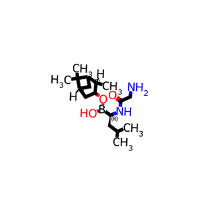 CC(C)C[C@H](NC(=O)CN)B(O)OC1C[C@@H]2CC([C@H]1C)C2(C)C